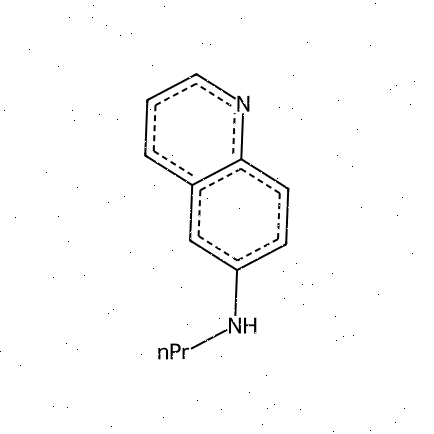 CCCNc1ccc2ncccc2c1